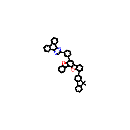 CC1(C)c2ccccc2-c2ccc(-c3cccc4c3oc3c4cc(-c4cccc(-c5cnc6c7ccccc7c7ccccc7c6n5)c4)c4oc5ccccc5c43)cc21